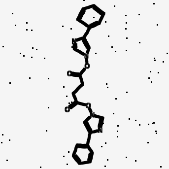 O=C(CCC(=O)On1cnc(-c2ccccc2)c1)On1cnc(-c2ccccc2)c1